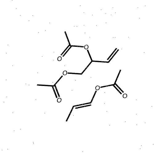 C=CC(COC(C)=O)OC(C)=O.CC=COC(C)=O